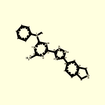 CN(c1ccccc1)c1nc(N)nc(-c2noc(-c3ccc4c(c3)COC4)n2)n1